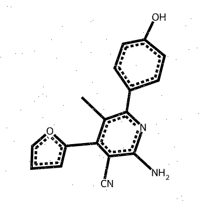 Cc1c(-c2ccc(O)cc2)nc(N)c(C#N)c1-c1ccco1